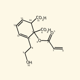 C=CC(=O)OC1(C(=O)O)C(CCO)=CC=CC1C(=O)O